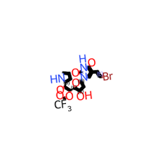 O=C(C(OC(=O)C(F)(F)F)[C@H]1O[C@@H](n2cc(/C=C/Br)c(=O)[nH]c2=O)C[C@@H]1O)[C@@H]1CCCN1